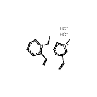 C=Cc1ccc[n+](C)c1.C=Cc1cccc[n+]1CC.[OH-].[OH-]